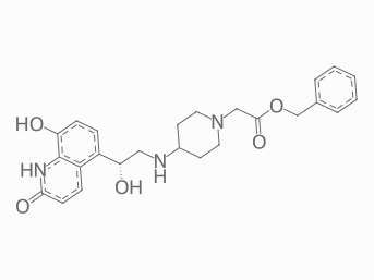 O=C(CN1CCC(NC[C@H](O)c2ccc(O)c3[nH]c(=O)ccc23)CC1)OCc1ccccc1